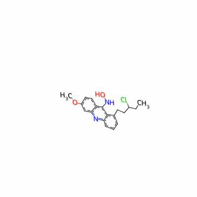 CCC(Cl)CCc1cccc2nc3cc(OC)ccc3c(NO)c12